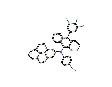 CC(C)(C)c1ccc(N(c2cc3ccc4cccc5ccc(c2)c3c45)c2c3ccccc3c(-c3cc(F)c(F)c(F)c3)c3ccccc23)cc1